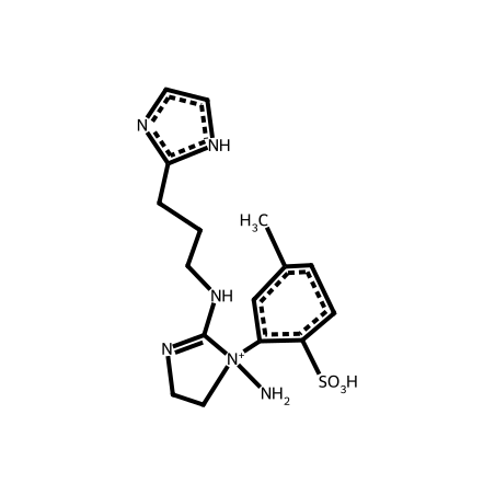 Cc1ccc(S(=O)(=O)O)c([N+]2(N)CCN=C2NCCCc2ncc[nH]2)c1